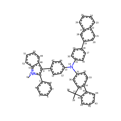 Cn1c(-c2ccccc2)c(-c2ccc(N(c3ccc(-c4ccc5ccccc5c4)cc3)c3ccc4c(c3)C(C)(C)c3ccccc3-4)cc2)c2ccccc21